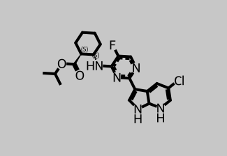 CC(C)OC(=O)[C@H]1CCCC[C@@H]1Nc1nc(C2=CNC3NC=C(Cl)C=C23)ncc1F